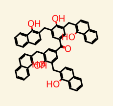 O=C(c1cc(Cc2ccc3ccccc3c2O)c(O)c(Cc2ccc3ccccc3c2O)c1)c1cc(Cc2ccc3ccccc3c2O)c(O)c(Cc2ccc3ccccc3c2O)c1